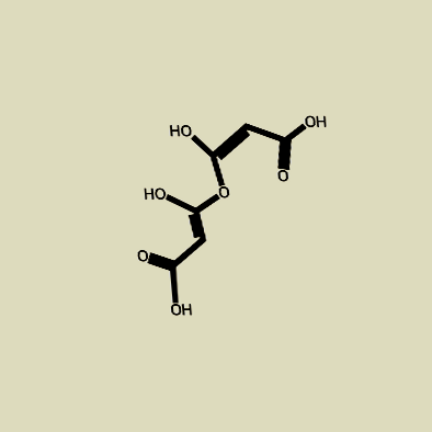 O=C(O)C=C(O)OC(O)=CC(=O)O